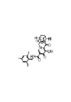 Cc1cc(F)c(CNC(=O)c2cn3c(c(O)c2=O)C(=O)N2[C@H]4CC[C@H](CC4)[C@@H]2C3)c(F)c1